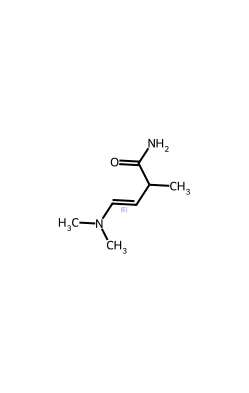 CC(/C=C/N(C)C)C(N)=O